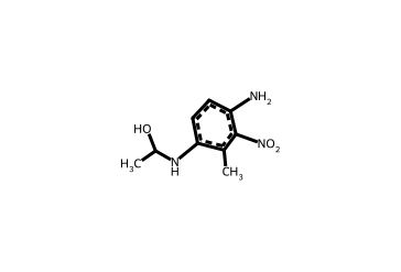 Cc1c(NC(C)O)ccc(N)c1[N+](=O)[O-]